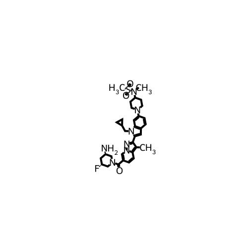 Cc1c(-c2cc3ccc(N4CCC(N(C)S(C)(=O)=O)CC4)cc3n2CC2CC2)nn2cc(C(=O)N3C[C@H](N)C[C@@H](F)C3)ccc12